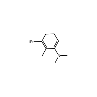 CC1=C(C(C)C)CCC=C1N(C)C